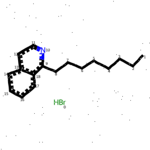 Br.CCCCCCCCc1nccc2ccccc12